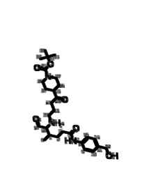 CC(C[C@H](C)C(=O)Nc1ccc(CO)cc1)C(C=O)NCCCC(=O)C1CCN(C(=O)OC(C)(C)C)CC1